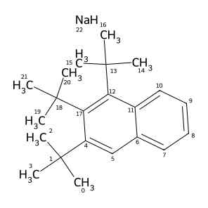 CC(C)(C)c1cc2ccccc2c(C(C)(C)C)c1C(C)(C)C.[NaH]